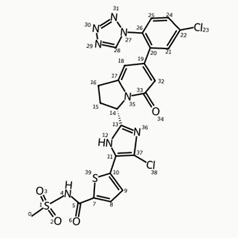 CS(=O)(=O)NC(=O)c1ccc(-c2[nH]c([C@@H]3CCc4cc(-c5cc(Cl)ccc5-n5cnnn5)cc(=O)n43)nc2Cl)s1